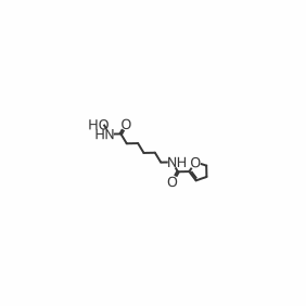 O=C(CCCCCNC(=O)C1=CCCO1)NO